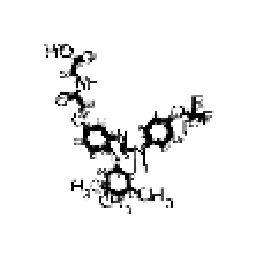 CC1CC(n2c(Nc3ccc(OC(F)(F)F)cc3)nc3cc(OCC(=O)NCC(=O)O)ccc32)CC(C)(C)C1